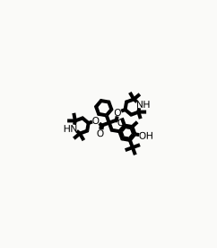 Cc1c(CC(C(=O)OC2CC(C)(C)NC(C)(C)C2)(C(=O)OC2CC(C)(C)NC(C)(C)C2)C2CCCCC2)cc(C(C)(C)C)c(O)c1C